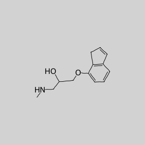 CNCC(O)COc1cccc2c1CC=C2